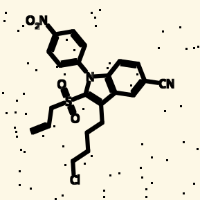 C=CCS(=O)(=O)c1c(CCCCCl)c2cc(C#N)ccc2n1-c1ccc([N+](=O)[O-])cc1